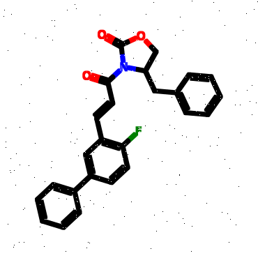 O=C(/C=C/c1cc(-c2ccccc2)ccc1F)N1C(=O)OCC1Cc1ccccc1